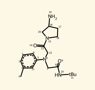 Cc1cccc(N(CC(=O)NC(C)(C)C)CC(=O)N2CCC(N)C2)c1